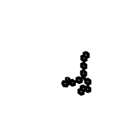 c1cc(-c2cccc3c2ccc2ccccc23)cc(N(c2ccc(-c3ccc(-c4ccc5ccccc5c4)cc3)cc2)c2ccc(-c3ccc4c(c3)oc3ccccc34)cc2)c1